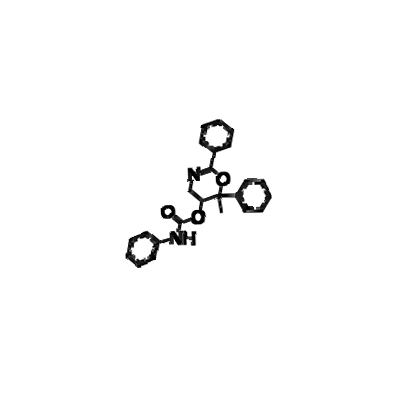 CC1(c2ccccc2)OC(c2ccccc2)=NCC1OC(=O)Nc1ccccc1